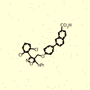 CCCc1onc(-c2c(Cl)cccc2Cl)c1COc1ccc(-c2ccc3ccc(C(=O)O)cc3c2)cc1